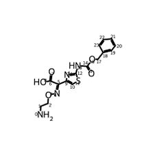 NCCON=C(C(=O)O)c1csc(NC(=O)OCc2ccccc2)n1